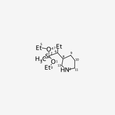 CCO[Si](C)(OCC)C(CC)C1CCCNC1